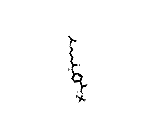 CC(C)OCCCCC(=O)Nc1ccc(C(=O)NSC(F)(F)F)cc1